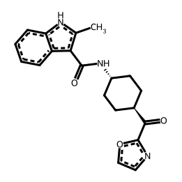 Cc1[nH]c2ccccc2c1C(=O)N[C@H]1CC[C@H](C(=O)c2ncco2)CC1